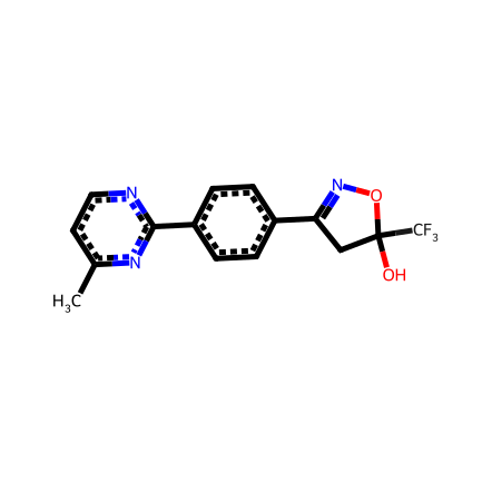 Cc1ccnc(-c2ccc(C3=NOC(O)(C(F)(F)F)C3)cc2)n1